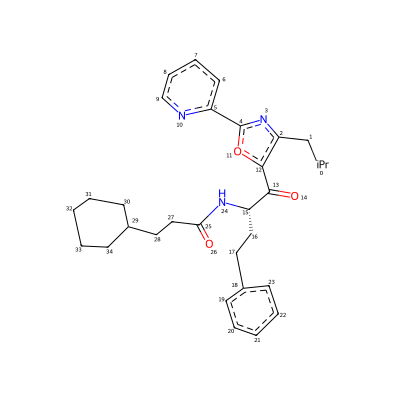 CC(C)Cc1nc(-c2ccccn2)oc1C(=O)[C@H](CCc1ccccc1)NC(=O)CCC1CCCCC1